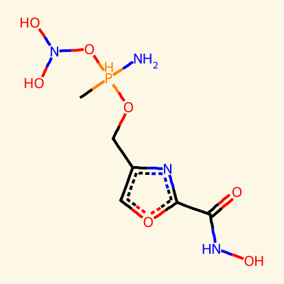 C[PH](N)(OCc1coc(C(=O)NO)n1)ON(O)O